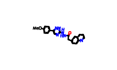 COc1ccc(-c2cnc(NNC(=O)Cc3ccc4ncccc4c3)nn2)cc1